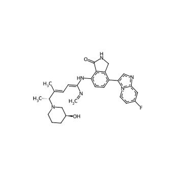 C=N/C(=C\C=C(/C)[C@@H](C)N1CCC[C@H](O)C1)Nc1ccc(-c2cnc3cc(F)ccn23)c2c1C(=O)NC2